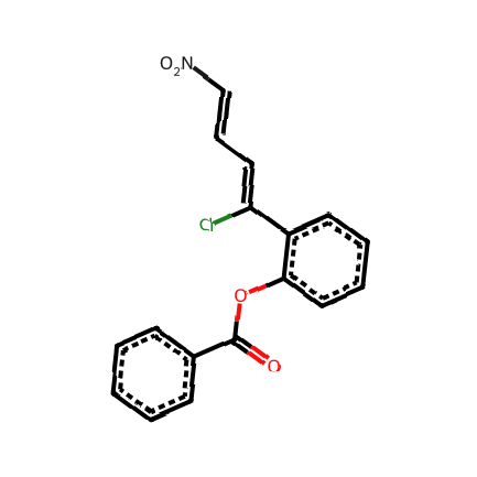 O=C(Oc1ccccc1C(Cl)=CC=C[N+](=O)[O-])c1ccccc1